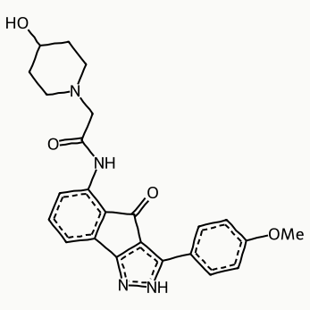 COc1ccc(-c2[nH]nc3c2C(=O)c2c(NC(=O)CN4CCC(O)CC4)cccc2-3)cc1